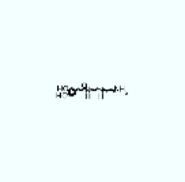 NCCCCNCCCNC(=O)CCc1ccc(O)c(O)c1